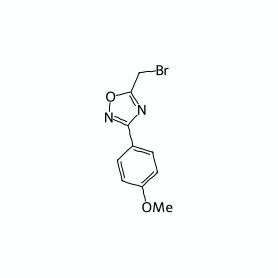 COc1ccc(-c2noc(CBr)n2)cc1